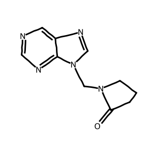 O=C1CCCN1Cn1cnc2cncnc21